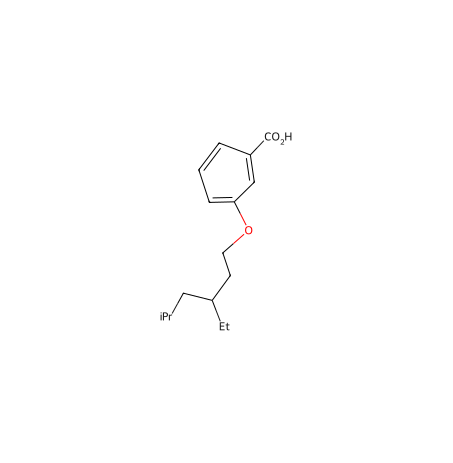 CCC(CCOc1cccc(C(=O)O)c1)CC(C)C